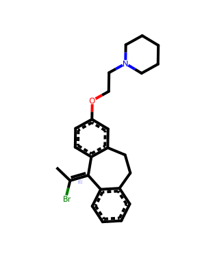 C/C(Br)=C1/c2ccccc2CCc2cc(OCCN3CCCCC3)ccc21